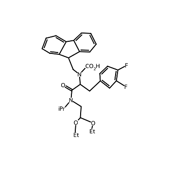 CCOC(CN(C(=O)C(Cc1ccc(F)c(F)c1)N(CC1c2ccccc2-c2ccccc21)C(=O)O)C(C)C)OCC